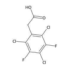 O=C(O)Cc1c(Cl)c(F)c(Cl)c(F)c1Cl